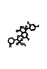 CS(=O)(=O)C(Oc1cc(F)cc(Nc2ccc(I)cc2F)c1C(N)=O)C1CCCNC1